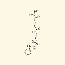 O=C(CCCC(=O)C(=O)O)NCCCS(=O)(=O)NNc1ccccc1